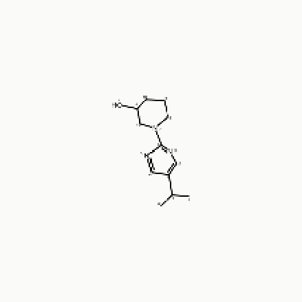 CC(C)c1cnc(N2CCCC(O)C2)nc1